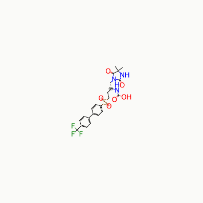 CC1(C)NC(=O)N(C[C@@H](CCS(=O)(=O)c2ccc(-c3ccc(C(F)(F)F)cc3)cc2)NC(=O)O)C1=O